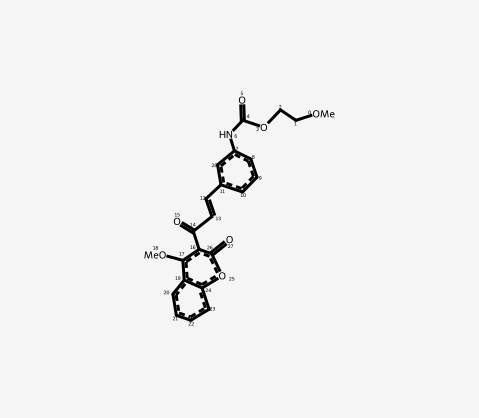 COCCOC(=O)Nc1cccc(C=CC(=O)c2c(OC)c3ccccc3oc2=O)c1